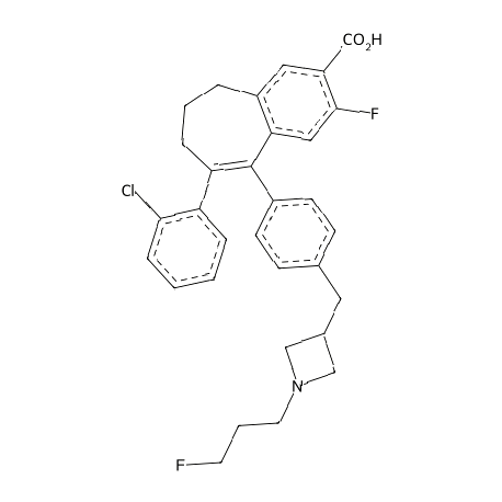 O=C(O)c1cc2c(cc1F)C(c1ccc(CC3CN(CCCF)C3)cc1)=C(c1ccccc1Cl)CCC2